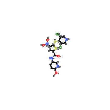 COc1ccc(NC(=O)c2cc([N+](=O)[O-])c(Sc3c(Cl)cncc3Cl)s2)cn1